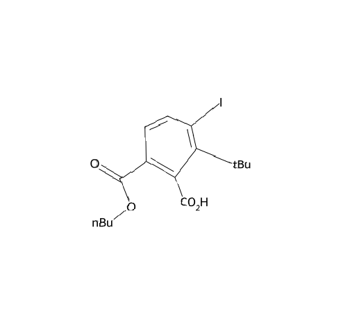 CCCCOC(=O)c1ccc(I)c(C(C)(C)C)c1C(=O)O